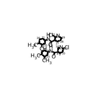 Cc1ccc(NC(=O)c2ccc(Cl)nc2)cc1C.Cc1ccc(NC(=O)c2cccnc2Cl)cc1C